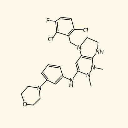 CN1C(Nc2cccc(N3CCOCC3)c2)=CC2=C(NCCN2Cc2c(Cl)ccc(F)c2Cl)N1C